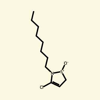 CCCCCCCCN1C(Cl)=CC[S+]1[O-]